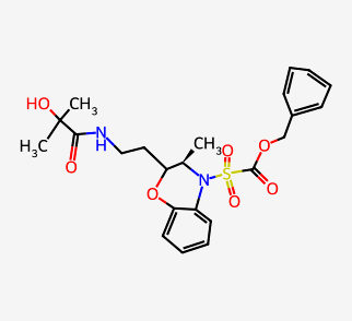 C[C@@H]1C(CCNC(=O)C(C)(C)O)Oc2ccccc2N1S(=O)(=O)C(=O)OCc1ccccc1